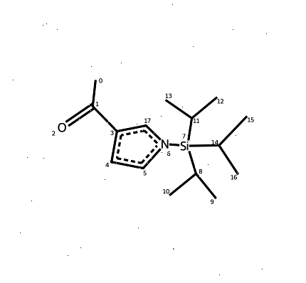 CC(=O)c1ccn([Si](C(C)C)(C(C)C)C(C)C)c1